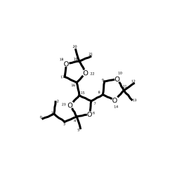 CC(C)CC1(C)OC(C2COC(C)(C)O2)C(C2COC(C)(C)O2)O1